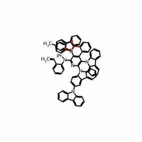 C=Cc1ccccc1N(c1nc(-n2c3ccccc3c3cc(-n4c5ccccc5c5ccccc54)ccc32)c(-n2c3ccccc3c3ccccc32)c(-c2ccccc2-c2nc3ccccc3s2)c1-n1c2ccccc2c2cc(C)ccc21)C(C)C